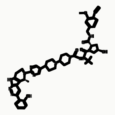 C#Cc1ccc(CNC(=O)[C@@H]2C[C@@H](O)CN2C(=O)[C@@H](NC(=O)N2CCC(N3CCC(c4cnc(N5CCc6[nH]c7nnc(-c8ccccc8O)cc7c6[C@H]5C)nc4)CC3)CC2)C(C)(C)C)cc1OC